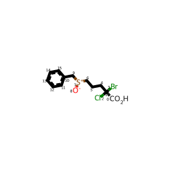 O=C(O)C(Cl)(Br)CCC[S+]([O-])Cc1ccccc1